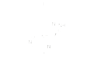 Cc1oncc1C(=O)N1CCC[C@H](C2=CN(c3ccc(F)cc3)NO2)C1